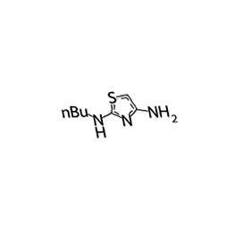 CCCCNc1nc(N)cs1